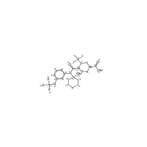 CC(C)(C)C1CN(C(=O)O)CCN1C(=O)C(c1cccc(OC(F)(F)F)c1)C1(O)CCCCC1